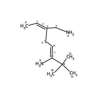 C/C=C(/CN)S/C=C(\N)C(C)(C)C